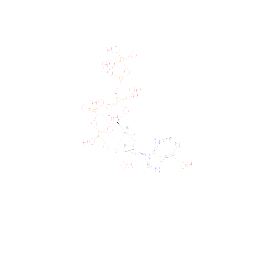 O=P(O)(O)OP(=O)(O)O[C@H]1[C@@H](O)[C@H](n2cnc3c(O)ncnc32)O[C@@H]1COP(=O)(O)OP(=O)(O)OP(=O)(O)O